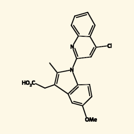 COc1ccc2c(c1)c(CC(=O)O)c(C)n2-c1cc(Cl)c2ccccc2n1